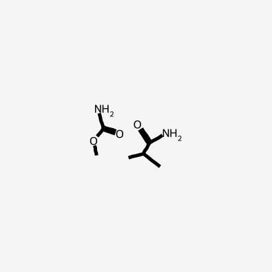 CC(C)C(N)=O.COC(N)=O